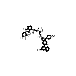 CC(=O)N1CCN(c2nc(NCCC(=O)N(C)CCNc3cccc4c3C(=O)N(C3CCC(=O)NC3=O)C4=O)nc3c(F)c(-c4cc(O)cc5ccccc45)c(Cl)cc23)CC1